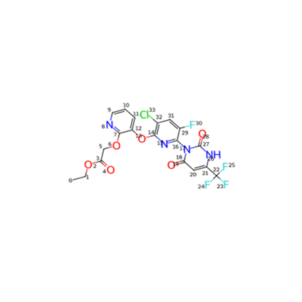 CCOC(=O)COc1ncccc1Oc1nc(-n2c(=O)cc(C(F)(F)F)[nH]c2=O)c(F)cc1Cl